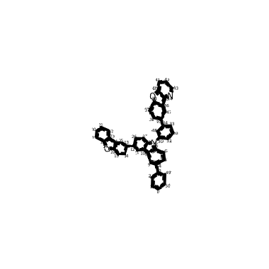 c1ccc(-c2ccc3c(c2)c2cc(-c4ccc5oc6ccccc6c5c4)ccc2n3-c2cccc(-c3ccc4oc5cccnc5c4c3)c2)cc1